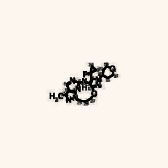 Cc1nn2c3nc(ncc13)Nc1c(nn(C3CCOCC3)c1C1(F)CC1)OCCC2